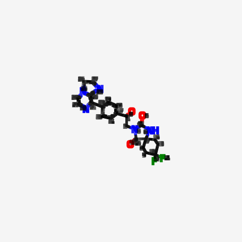 O=C(CN1C(=O)NC2(CCC(F)(F)CC2)C1=O)c1ccc(-c2nccn3ccnc23)cc1